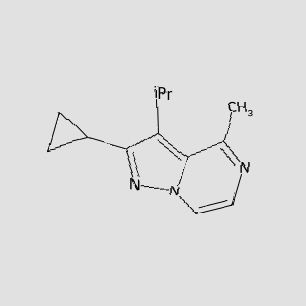 Cc1nccn2nc(C3CC3)c(C(C)C)c12